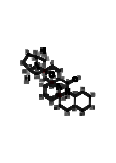 O=C(c1ccc(N2[C@@H]3CC[C@H]2CC(Oc2ccccn2)C3)cc1)N1CCCC2CCCCC21